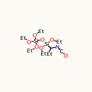 CCO[Si](OCC)(OCC)O[Si](OCC)(OCC)C(CC)N=C=O